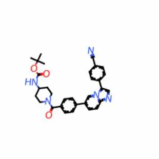 CC(C)(C)OC(=O)NC1CCN(C(=O)c2ccc(-c3ccc4ncc(-c5ccc(C#N)cc5)n4c3)cc2)CC1